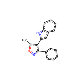 Cc1onc(-c2ccccc2)c1-c1cc2ccccc2[nH]1